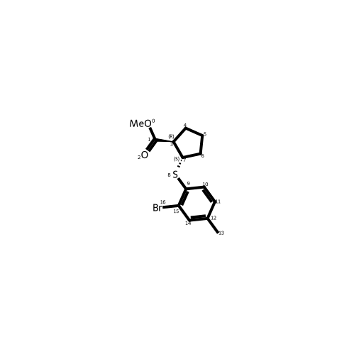 COC(=O)[C@H]1CCC[C@@H]1Sc1ccc(C)cc1Br